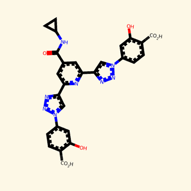 O=C(NC1CC1)c1cc(-c2cn(-c3ccc(C(=O)O)c(O)c3)nn2)nc(-c2cn(-c3ccc(C(=O)O)c(O)c3)nn2)c1